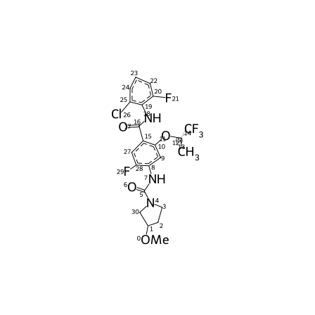 COC1CCN(C(=O)Nc2cc(O[C@@H](C)C(F)(F)F)c(C(=O)Nc3c(F)cccc3Cl)cc2F)C1